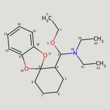 CCOC(C1CCCCC12Oc1ccccc1O2)N(CC)CC